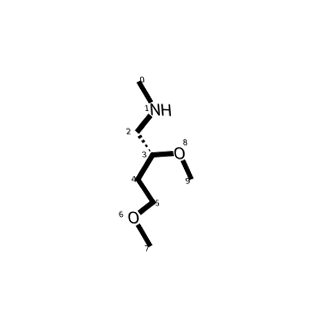 CNC[C@@H](CCOC)OC